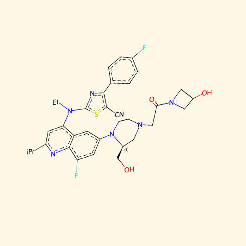 CCN(c1nc(-c2ccc(F)cc2)c(C#N)s1)c1cc(C(C)C)nc2c(F)cc(N3CCN(CC(=O)N4CC(O)C4)C[C@H]3CO)cc12